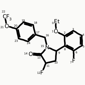 CCOc1cccc(F)c1C1CC(F)C(=O)N1Cc1ccc(OC(F)(F)F)cc1